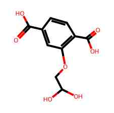 O=C(O)c1ccc(C(=O)O)c(OCC(O)O)c1